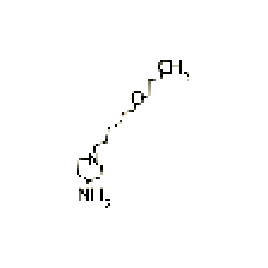 CCCCOCCCCCCN1CCC(N)CC1